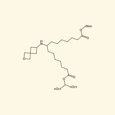 CCCCCCCCCOC(=O)CCCCCCC(CCCCCCC(=O)OC(CCCCCCCC)CCCCCCCC)NC1CC2(COC2)C1